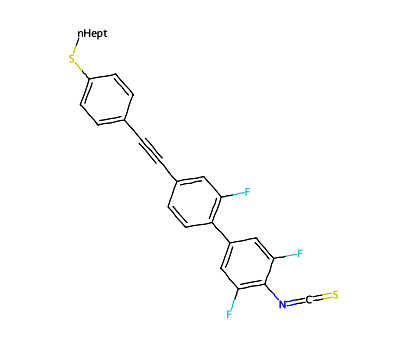 CCCCCCCSc1ccc(C#Cc2ccc(-c3cc(F)c(N=C=S)c(F)c3)c(F)c2)cc1